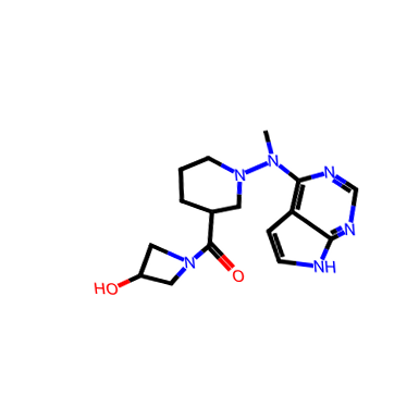 CN(c1ncnc2[nH]ccc12)N1CCCC(C(=O)N2CC(O)C2)C1